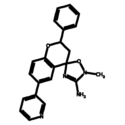 CN1OC2(CC(c3ccccc3)Oc3ccc(-c4cccnc4)cc32)N=C1N